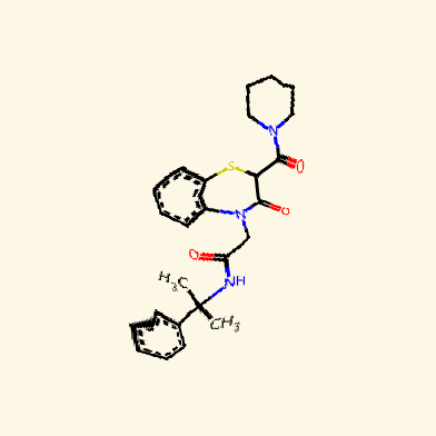 CC(C)(NC(=O)CN1C(=O)C(C(=O)N2CCCCC2)Sc2ccccc21)c1ccccc1